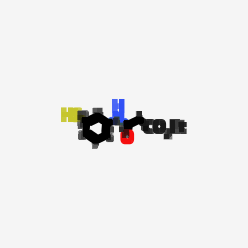 CCOC(=O)CC(=O)Nc1cccc(S)c1